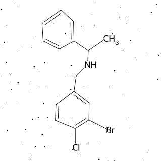 CC(NCc1ccc(Cl)c(Br)c1)c1ccccc1